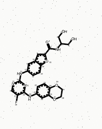 O=C(NC(CO)CO)c1cc2cc(Nc3ncc(F)c(Nc4ccc5c(c4)OCCO5)n3)ccc2o1